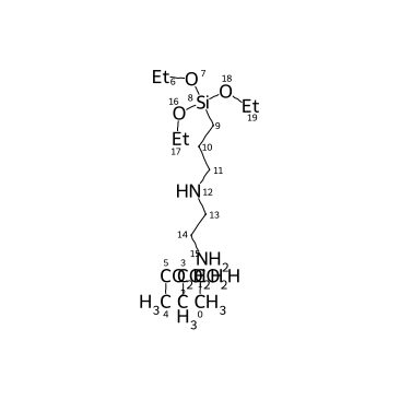 CC(=O)O.CC(=O)O.CC(=O)O.CCO[Si](CCCNCCN)(OCC)OCC